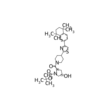 CC(C)(C)OC(=O)N1C[C@@H](O)C[C@@H]1C(=O)N1CCC(c2nc(-c3ccc4c(c3)C(C)(C)CCC4(C)C)cs2)CC1